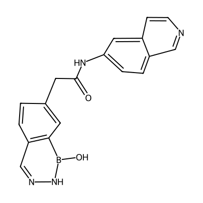 O=C(Cc1ccc2c(c1)B(O)NN=C2)Nc1ccc2cnccc2c1